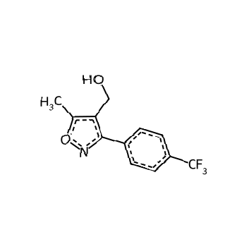 Cc1onc(-c2ccc(C(F)(F)F)cc2)c1CO